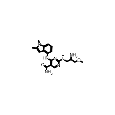 COCC(N)CNc1ncc(C(N)=O)c(Nc2cccc3c2cc(C)n3C)n1